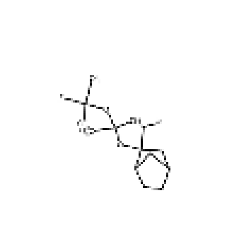 CC(C)(OC1(CF)CC2CCC1C2)OC(O)(F)C(F)(F)F